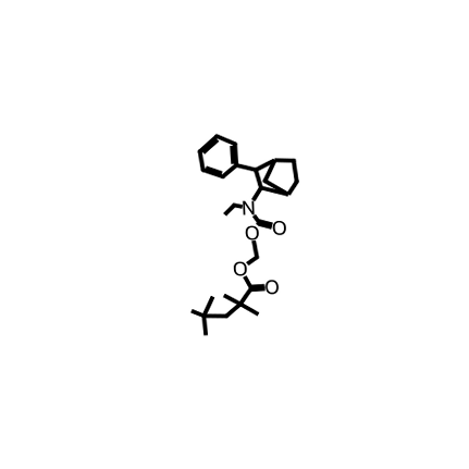 CCN(C(=O)OCOC(=O)C(C)(C)CC(C)(C)C)C1C2CCC(C2)C1c1ccccc1